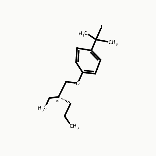 CCC[C@H](CC)COc1ccc(C(C)(C)I)cc1